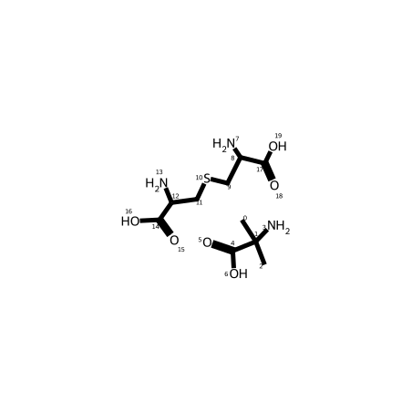 CC(C)(N)C(=O)O.NC(CSCC(N)C(=O)O)C(=O)O